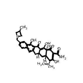 CC1CN(Cc2ccc3cc4c(c(O)c3c2)C(=O)C2=C(O)[C@]3(O)C(=O)C(C(N)=O)=C(O)[C@@H](N(C)C)[C@@H]3C[C@@H]2C4)C1